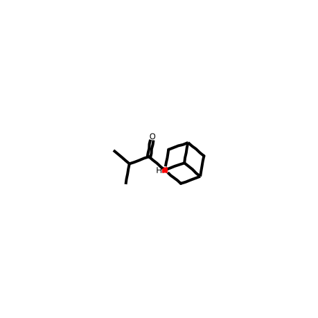 CC(C)C(=O)CC1C2CNCC1C2